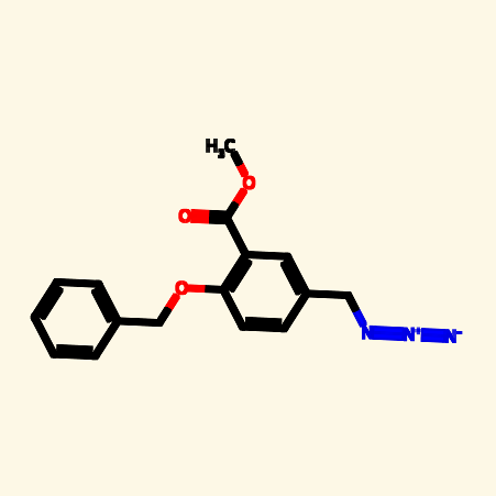 COC(=O)c1cc(CN=[N+]=[N-])ccc1OCc1ccccc1